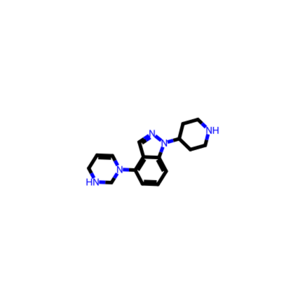 C1=CN(c2cccc3c2cnn3C2CCNCC2)CNC1